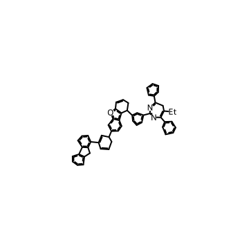 CCC1=C(c2ccccc2)N=C(c2cccc(C3CC=Cc4oc5cc(C6C=C(c7cccc8c7Cc7ccccc7-8)C=CC6)ccc5c43)c2)N=C(c2ccccc2)C1